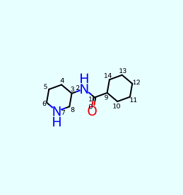 O=C(NC1CCCNC1)C1CCCCC1